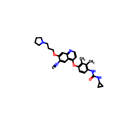 [C-]#[N+]c1cc2c(Oc3ccc(NC(=O)NC4CC4)c(C)c3C)ccnc2cc1OCCCN1CCCC1